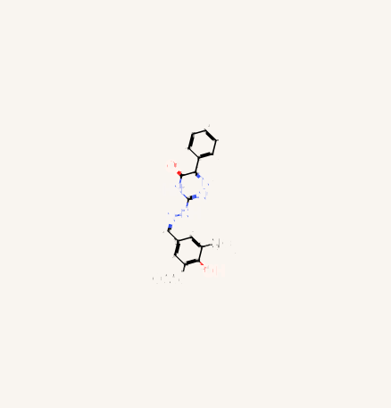 COc1cc(/C=N\Nc2nnc(-c3ccccc3)c(=O)[nH]2)cc([N+](=O)[O-])c1O